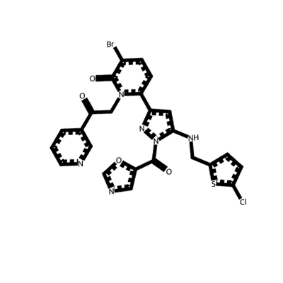 O=C(Cn1c(-c2cc(NCc3ccc(Cl)s3)n(C(=O)c3cnco3)n2)ccc(Br)c1=O)c1cccnc1